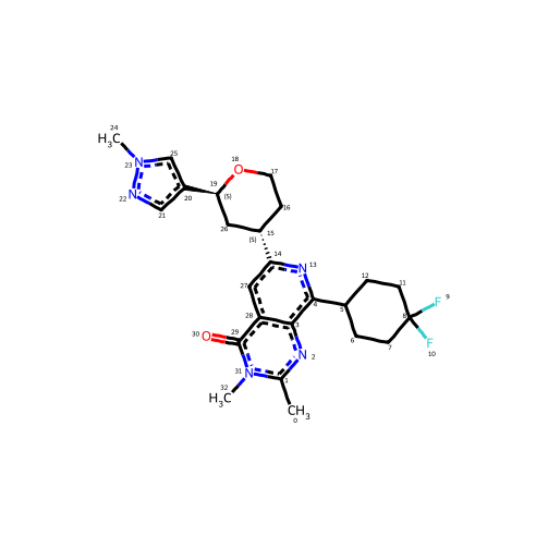 Cc1nc2c(C3CCC(F)(F)CC3)nc([C@H]3CCO[C@H](c4cnn(C)c4)C3)cc2c(=O)n1C